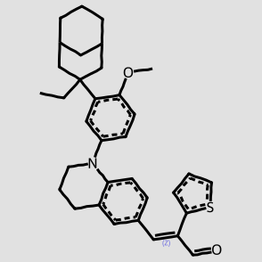 CCC1(c2cc(N3CCCc4cc(/C=C(/C=O)c5cccs5)ccc43)ccc2OC)CC2CCCC(C2)C1